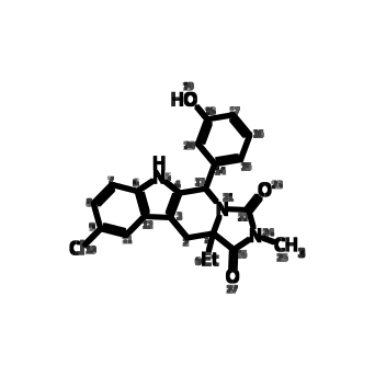 CCC12Cc3c([nH]c4ccc(Cl)cc34)C(c3cccc(O)c3)N1C(=O)N(C)C2=O